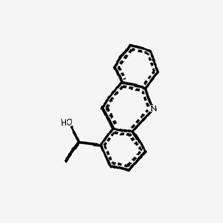 CC(O)c1cccc2nc3ccccc3cc12